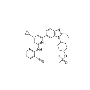 CCc1nc2ccc(-c3cc(C4CC4)cc(Nc4ncccc4C#N)n3)cc2n1C1CCC(OS(C)(=O)=O)CC1